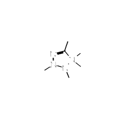 CC1=NN(C)N(C)[N+]1(C)C